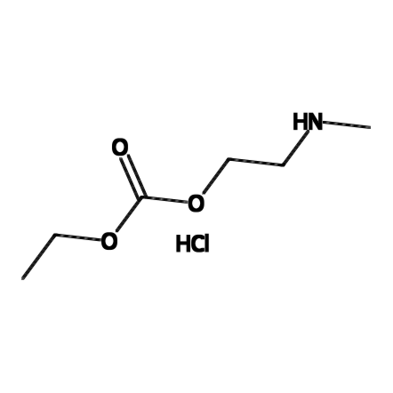 CCOC(=O)OCCNC.Cl